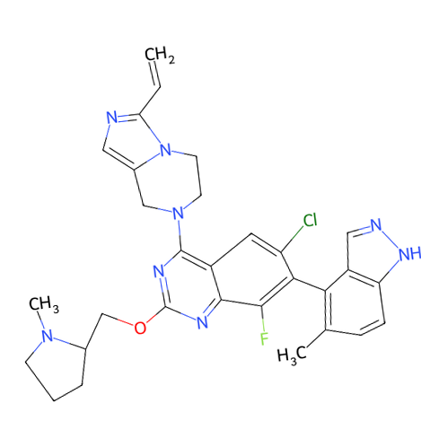 C=Cc1ncc2n1CCN(c1nc(OCC3CCCN3C)nc3c(F)c(-c4c(C)ccc5[nH]ncc45)c(Cl)cc13)C2